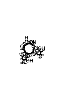 CC[C@H]1OC(=O)C[C@@H](OC2CC(C)(OC)C(C)C(O)O2)[C@H](C)[C@@H](O[C@@H]2O[C@H](C)C[C@H](N(C)C)[C@H]2O)[C@@](C)(OC)C[C@@H](C)C(=O)[C@H](C)[C@@H](O)[C@]1(C)O